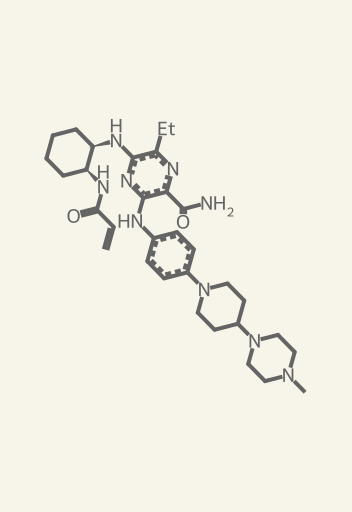 C=CC(=O)N[C@H]1CCCC[C@H]1Nc1nc(Nc2ccc(N3CCC(N4CCN(C)CC4)CC3)cc2)c(C(N)=O)nc1CC